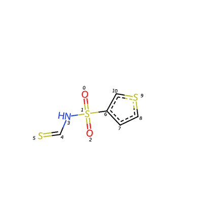 O=S(=O)(NC=S)c1ccsc1